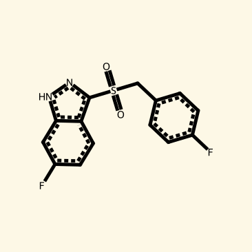 O=S(=O)(Cc1ccc(F)cc1)c1n[nH]c2cc(F)ccc12